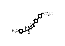 CCOC(=O)CC1CCC(c2ccc(-c3cn4cc(C(=O)NCc5ccc(C)cc5)nc4s3)cc2)CC1